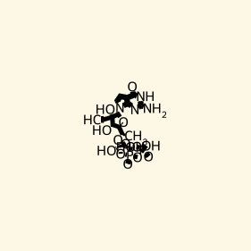 C#CC1(O)[C@@H](O)[C@@H]([C@@H](C)OP(=O)(O)OP(=O)(O)OP(=O)(O)O)O[C@H]1n1ccc2c(=O)[nH]c(N)nc21